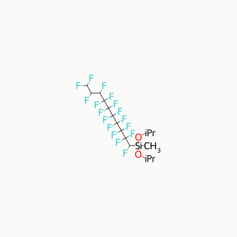 CC(C)O[Si](C)(OC(C)C)C(F)C(F)(F)C(F)(F)C(F)(F)C(F)(F)C(F)(F)C(F)(F)C(F)C(F)C(F)F